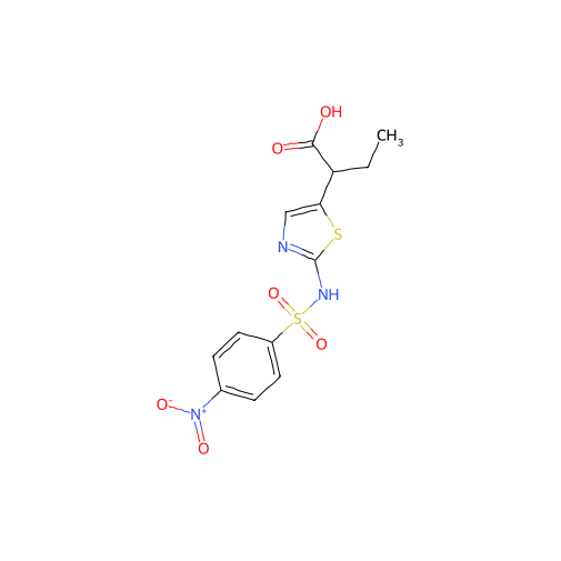 CCC(C(=O)O)c1cnc(NS(=O)(=O)c2ccc([N+](=O)[O-])cc2)s1